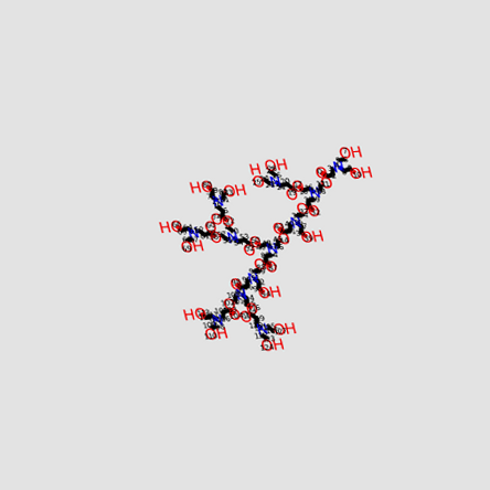 O=C(CCN(CCO)CCO)OCCN(CCOC(=O)CCN(CCO)CCO)CCC(=O)OCCN(CCO)CCC(=O)OCCN(CCOC(=O)CCN(CCOC(=O)CCN(CCO)CCO)CCOC(=O)CCN(CCO)CCO)CCC(=O)OCCN(CCO)CCC(=O)N(CCOC(=O)CCN(CCO)CCO)CCOC(=O)CCN(CCO)CCO